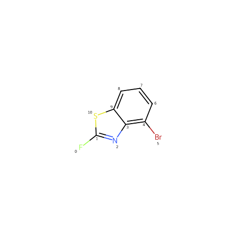 Fc1nc2c(Br)cccc2s1